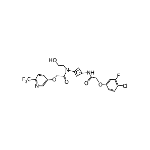 O=C(COc1ccc(Cl)c(F)c1)NC12CC(N(CCO)C(=O)COc3ccc(C(F)(F)F)nc3)(C1)C2